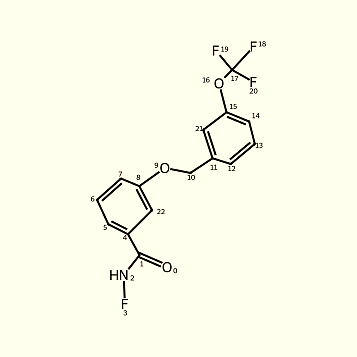 O=C(NF)c1cccc(OCc2cccc(OC(F)(F)F)c2)c1